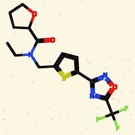 CCN(Cc1ccc(-c2noc(C(F)(F)F)n2)s1)C(=O)C1CCCO1